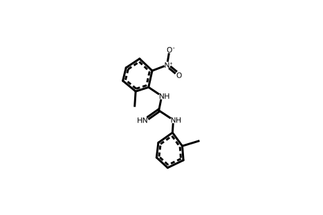 Cc1ccccc1NC(=N)Nc1c(C)cccc1[N+](=O)[O-]